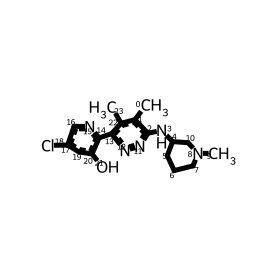 Cc1c(NC2CCCN(C)C2)nnc(-c2ncc(Cl)cc2O)c1C